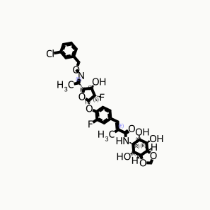 C/C(=C\c1ccc(O[C@@H]2O[C@H](/C(C)=N/OCc3cccc(Cl)c3)[C@@H](O)[C@@H]2F)c(F)c1)C(=O)N[C@@H]1[C@H](O)[C@@H](O)[C@H]2OCO[C@H]2[C@@H]1O